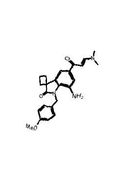 COc1ccc(CN2C(=O)C3(CCC3)c3cc(C(=O)/C=C/N(C)C)cc(N)c32)cc1